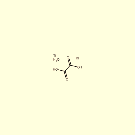 O.O=C(O)C(=O)O.[KH].[Ti]